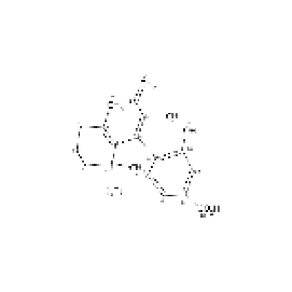 C=C/C(C)=C(\C1=C(C)CCCC1(C)C)c1ccc(C(=O)O)cc1O